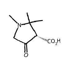 CN1CC(=O)[C@@H](C(=O)O)C1(C)C